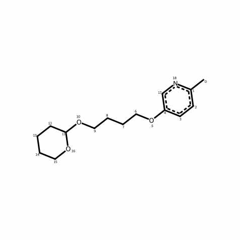 Cc1ccc(OCCCCOC2CCCCO2)cn1